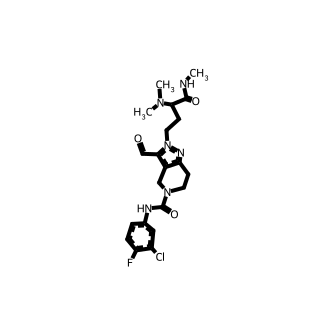 CNC(=O)C(CCn1nc2c(c1C=O)CN(C(=O)Nc1ccc(F)c(Cl)c1)CC2)N(C)C